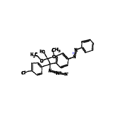 COC(O)(OC)C(N=[N+]=[N-])(c1ccc(Cl)cc1)c1ccc(/N=N/c2ccccc2)cc1